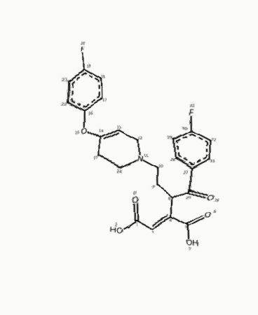 O=C(O)/C=C(/C(=O)O)C(CCN1CC=C(Oc2ccc(F)cc2)CC1)C(=O)c1ccc(F)cc1